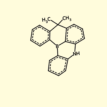 CC1(C)c2ccccc2B2c3ccccc3Nc3cccc1c32